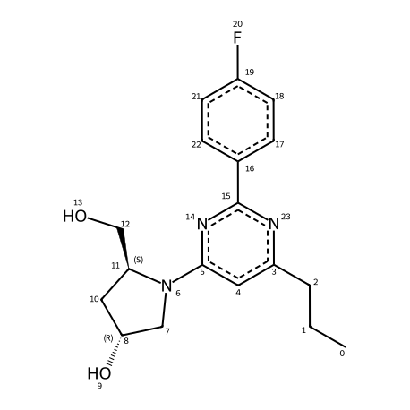 CCCc1cc(N2C[C@H](O)C[C@H]2CO)nc(-c2ccc(F)cc2)n1